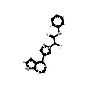 CCC(C(=O)Nc1ccccc1)n1cc(-c2ncnc3[nH]ccc23)cn1